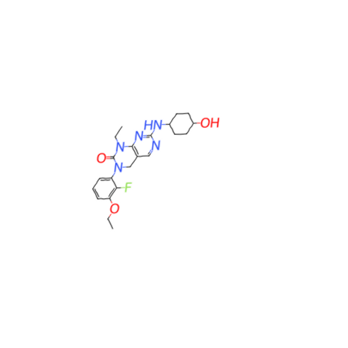 CCOc1cccc(N2Cc3cnc(NC4CCC(O)CC4)nc3N(CC)C2=O)c1F